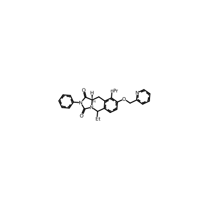 CCCc1c(OCc2ccccn2)ccc2c1C[C@H]1C(=O)N(c3ccccc3)C(=O)N1C2CC